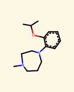 CC(C)Oc1ccccc1N1CCCN(C)CC1